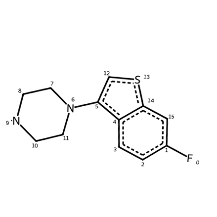 Fc1ccc2c(N3CC[N]CC3)csc2c1